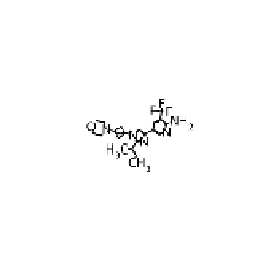 CCC(C)c1nc(-c2cnc(N)c(C(F)(F)F)c2)cn1C12CC(N3CCOCC3)(C1)C2